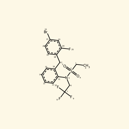 CCS(=O)(=O)N(CC(F)(F)F)c1ccccc1Cc1ccc(Br)cc1F